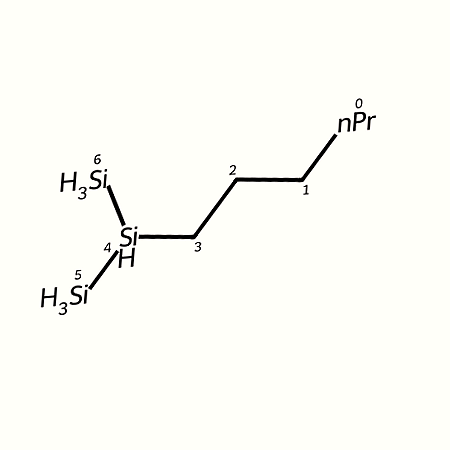 CCCCCC[SiH]([SiH3])[SiH3]